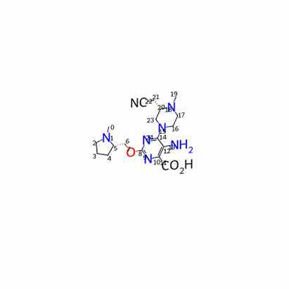 CN1CCC[C@H]1COc1nc(C(=O)O)c(N)c(N2CCN(C)[C@@H](CC#N)C2)n1